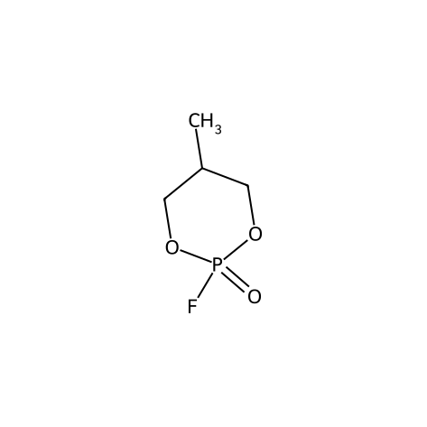 CC1COP(=O)(F)OC1